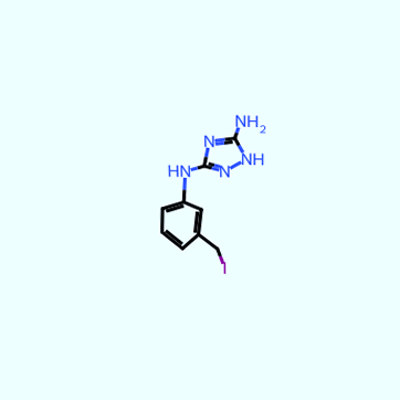 Nc1nc(Nc2cccc(CI)c2)n[nH]1